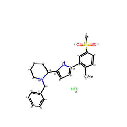 CCS(=O)(=O)c1ccc(OC)c(-c2ccc(C3CCCCN3Cc3ccccc3)[nH]2)c1.Cl